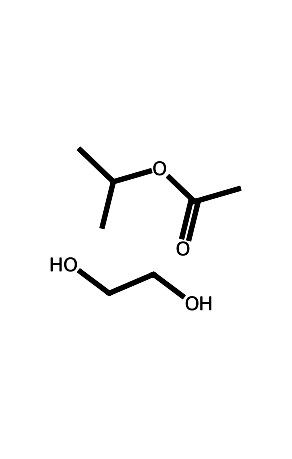 CC(=O)OC(C)C.OCCO